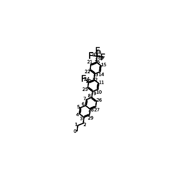 CCCc1ccc2cc(-c3ccc(-c4ccc(C(F)(F)F)cc4)c(F)c3)ccc2c1